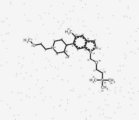 COCCN1CCC(c2cc3c(cnn3COCC[Si](C)(C)C)cc2C)C(F)C1